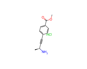 COC(=O)c1ccc(C#C[C@H](C)N)cc1.Cl